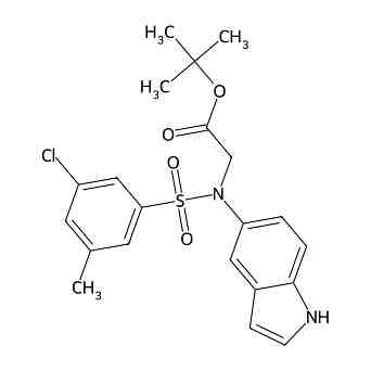 Cc1cc(Cl)cc(S(=O)(=O)N(CC(=O)OC(C)(C)C)c2ccc3[nH]ccc3c2)c1